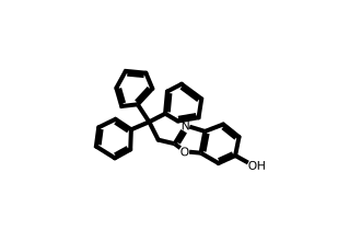 Oc1ccc2nc(CC(c3ccccc3)(c3ccccc3)c3ccccc3)oc2c1